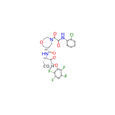 O=C(O)C[C@H](NC(=O)[C@@H]1COCCN(C(=O)C(=O)Nc2ccccc2Cl)C1)C(=O)COc1c(F)c(F)cc(F)c1F